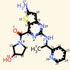 CC(Nc1nc(C(=O)N2CCC(O)C2)c2sc(N)cc2n1)c1ccccn1